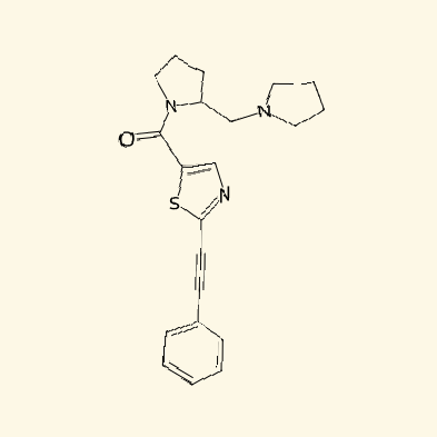 O=C(c1cnc(C#Cc2ccccc2)s1)N1CCCC1CN1CCCC1